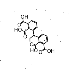 CCC(c1cccc(C(=O)O)c1C(=O)O)c1cccc(C(=O)O)c1C(=O)O